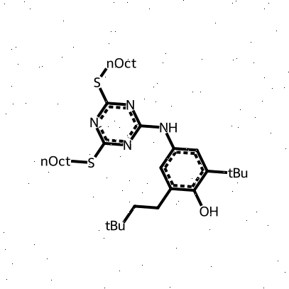 CCCCCCCCSc1nc(Nc2cc(CCC(C)(C)C)c(O)c(C(C)(C)C)c2)nc(SCCCCCCCC)n1